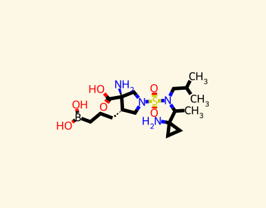 CC(C)CN(C(C)C1(N)CC1)S(=O)(=O)N1C[C@H](CCCB(O)O)[C@](N)(C(=O)O)C1